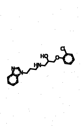 OC(CNCCCn1cnc2ccccc21)COc1ccccc1Cl